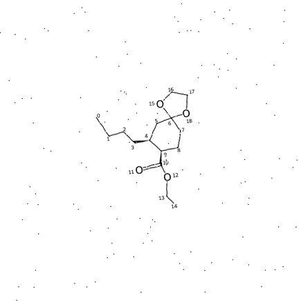 CCCC[C@H]1CC2(CC[C@H]1C(=O)OCC)OCCO2